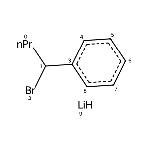 CCCC(Br)c1ccccc1.[LiH]